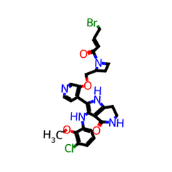 COc1c(Cl)cccc1Nc1c(-c2ccncc2OCC2CCN2C(=O)C=CCBr)[nH]c2c1C(=O)NCC2